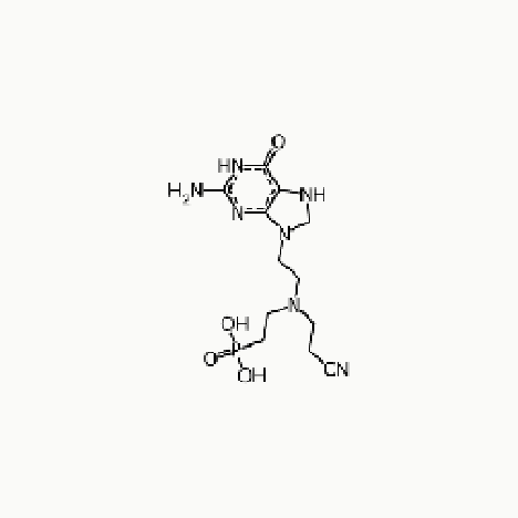 N#CCCN(CCN1CNc2c1nc(N)[nH]c2=O)CCP(=O)(O)O